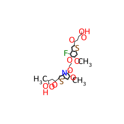 COc1cc2sc(C(=O)CC(C)C(=O)O)cc2nc1OCCOc1c(OC)cc2sc(C(=O)CCC(=O)O)cc2c1F